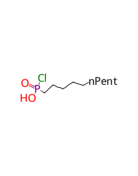 CCCCCCCCCCP(=O)(O)Cl